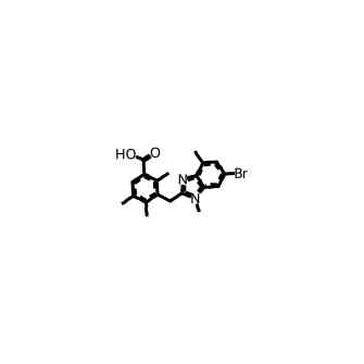 Cc1cc(C(=O)O)c(C)c(Cc2nc3c(C)cc(Br)cc3n2C)c1C